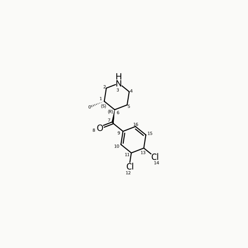 C[C@@H]1CNCC[C@H]1C(=O)C1=CC(Cl)C(Cl)C=C1